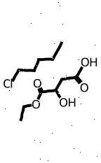 CCCCCCl.CCOC(=O)C(O)CC(=O)O